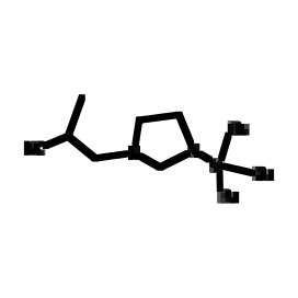 CCC(C)[Si](C(C)CC)(C(C)CC)N1CCN(CC(C)C#N)C1